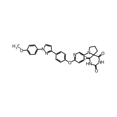 COc1ccc(-n2ccc(-c3ccc(Oc4ccc(N5CCCC56C(=O)NC(=O)NC6=O)cn4)cc3)n2)cc1